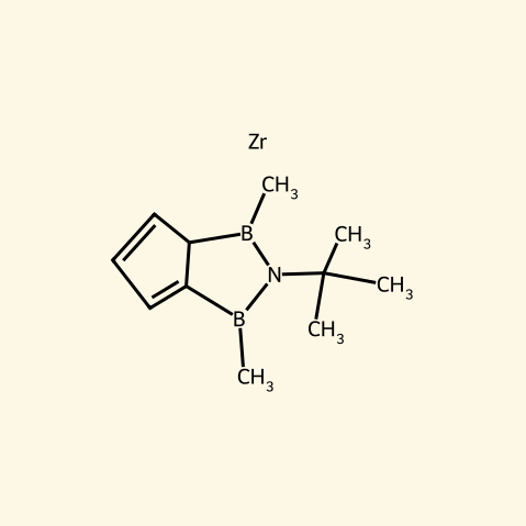 CB1C2=CC=CC2B(C)N1C(C)(C)C.[Zr]